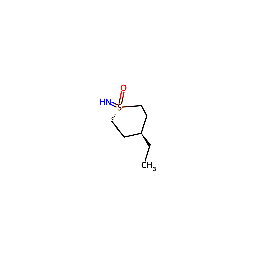 CC[C@H]1CC[S@](=N)(=O)CC1